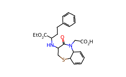 CCOC(=O)C(CCc1ccccc1)NC1CSC2C=CC=CC2N(CC(=O)O)C1=O